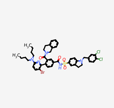 CCCCN(CCCC)c1ccc(Br)c(-c2ccc(C(=O)NS(=O)(=O)c3ccc4c(c3)CCN4Cc3ccc(Cl)c(Cl)c3)cc2C(=O)N2CCc3ccccc3C2)n1